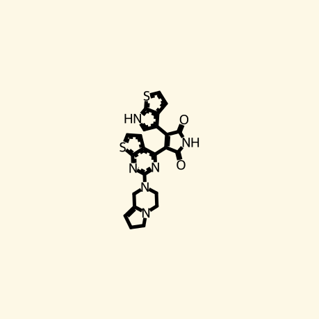 O=C1NC(=O)C(c2c[nH]c3sccc23)=C1c1nc(N2CCN3CCC=C3C2)nc2sccc12